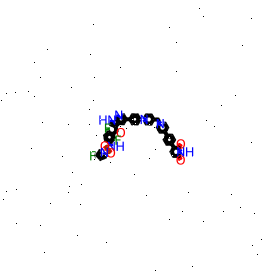 O=C1CCC(c2ccc(C3CCN(CC4CCN(c5ccc(-c6cnc7[nH]cc(C(=O)c8c(F)ccc(NS(=O)(=O)N9CC[C@@H](F)C9)c8F)c7c6)cc5)CC4)CC3)cc2)C(=O)N1